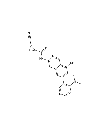 CN(C)c1ccncc1-c1cc(N)c2cnc(NC(=O)C3CC3C#N)cc2c1